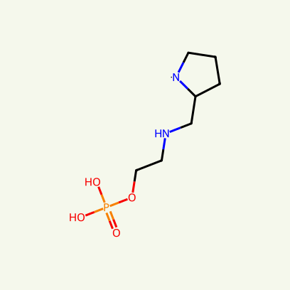 O=P(O)(O)OCCNCC1CCC[N]1